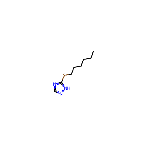 CCCCCCSc1ncn[nH]1